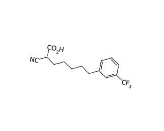 N#CC(CCCCCc1cccc(C(F)(F)F)c1)C(=O)O